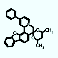 CC1CC(C)OC2(CN3C=CC(c4ccccc4)=CC3c3c2ccc2c3oc3ccccc32)O1